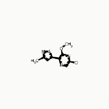 COc1nc(Cl)cnc1-c1cc(C)ns1